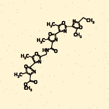 CCc1nc(-c2nc(-c3nc(C(=O)NCc4nc(-c5nc(C(=O)OC)c(C)o5)c(C)o4)c(C)o3)c(C)o2)c(C)o1